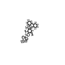 CC(C)(C)OC(=O)COc1c(I)cc([SiH]2c3ccccc3-c3ccccc32)cc1I